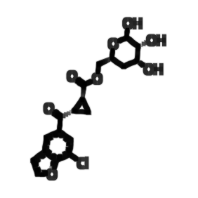 O=C(OC[C@@H]1C[C@H](O)[C@@H](O)C(O)O1)[C@H]1C[C@@H]1C(=O)c1cc(Cl)c2occc2c1